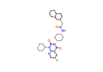 O=C(Cc1ccc2ccccc2c1)N[C@H]1CC[C@@H](n2c(=O)c3cc(F)cnc3n(C3CCSCC3)c2=O)CC1